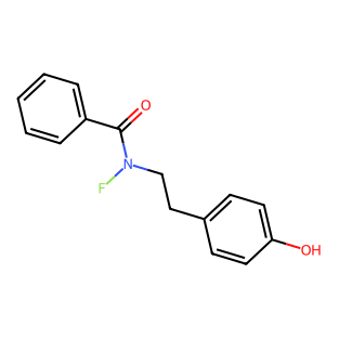 O=C(c1ccccc1)N(F)CCc1ccc(O)cc1